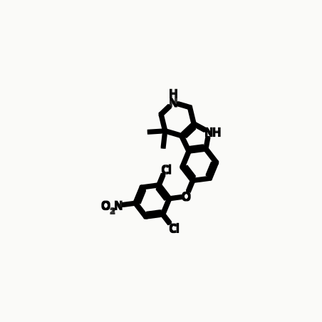 CC1(C)CNCc2[nH]c3ccc(Oc4c(Cl)cc([N+](=O)[O-])cc4Cl)cc3c21